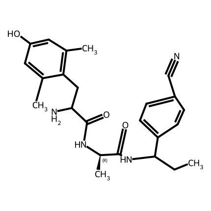 CCC(NC(=O)[C@@H](C)NC(=O)C(N)Cc1c(C)cc(O)cc1C)c1ccc(C#N)cc1